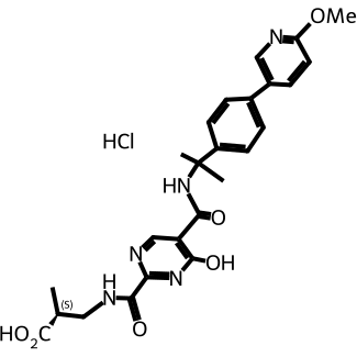 COc1ccc(-c2ccc(C(C)(C)NC(=O)c3cnc(C(=O)NC[C@H](C)C(=O)O)nc3O)cc2)cn1.Cl